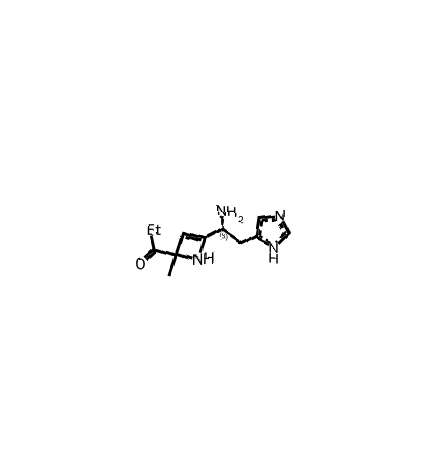 CCC(=O)C1(C)C=C([C@@H](N)Cc2cnc[nH]2)N1